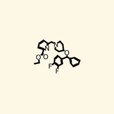 CCOC(=O)c1cccc(CN2CCC(OC(c3ccccc3)c3ccc(F)c(F)c3)CC2)n1